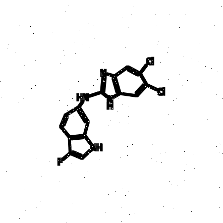 Fc1c[nH]c2cc(Nc3nc4cc(Cl)c(Cl)cc4[nH]3)ccc12